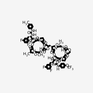 Cc1ccc(NC(=O)N[C@@H](Cc2cc(F)cc(F)c2)C(=O)N[C@@H]2C(=O)N3CCC[C@H]3C(=O)N3CC(C[C@H]4C[C@H]5C(=O)O[C@@H](C)[C@H](NC(=O)[C@H](Cc6cc(F)cc(F)c6)NC(=O)Nc6ccc(OC(F)(F)F)cc6)C(=O)N6CCC[C@H]6C(=O)N6CCOC[C@H]6C(=O)N[C@@H](C)C(=O)N5C4)OC[C@H]3C(=O)N[C@@H](C)C(=O)N3C[C@@H](C)C[C@H]3C(=O)O[C@H]2C)cc1